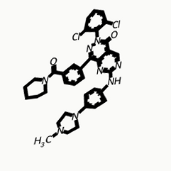 CN1CCN(c2ccc(Nc3ncc4c(=O)n(-c5c(Cl)cccc5Cl)nc(-c5cccc(C(=O)N6CCCCC6)c5)c4n3)cc2)CC1